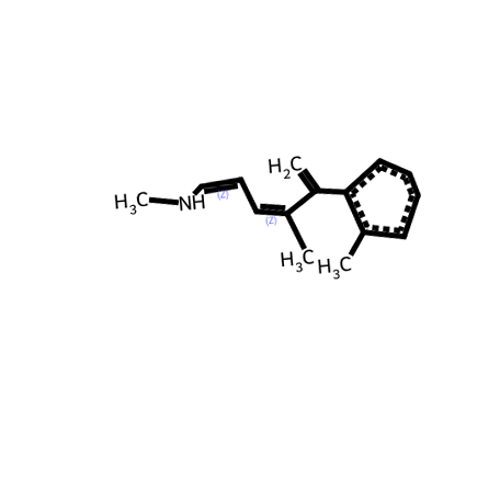 C=C(/C(C)=C\C=C/NC)c1ccccc1C